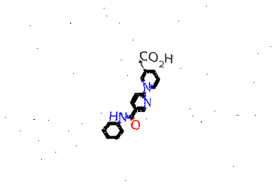 O=C(O)C[C@@H]1CCCN(c2ccc(C(=O)NC3CCCCC3)cn2)C1